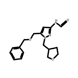 O=CNc1cc(COCc2ccccc2)n(CC2CCOC2)n1